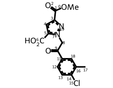 COC(=O)c1cc(C(=O)O)n(CC(=O)c2ccc(Cl)c(C)c2)n1